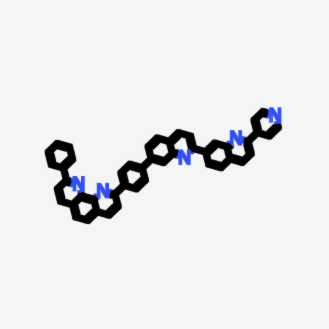 c1ccc(-c2ccc3ccc4ccc(-c5ccc(-c6ccc7ccc(-c8ccc9ccc(-c%10ccncc%10)nc9c8)nc7c6)cc5)nc4c3n2)cc1